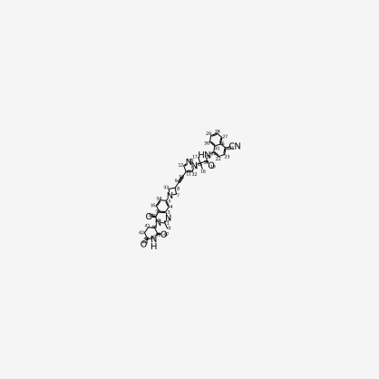 Cc1nc2cc(N3CC(C#Cc4cnn(C(C)(C)C(=O)Nc5ccc(C#N)c6ccccc56)c4)C3)ccc2c(=O)n1C1CCC(=O)NC1=O